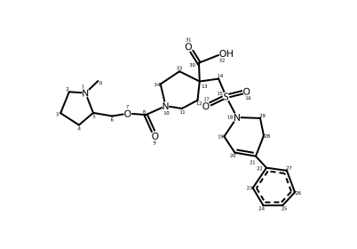 CN1CCCC1COC(=O)N1CCC(CS(=O)(=O)N2CC=C(c3ccccc3)CC2)(C(=O)O)CC1